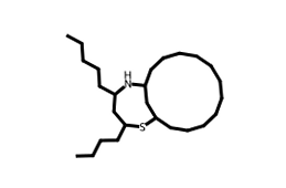 CCCCCC1CC(CCCC)SC2CCCCCCCCCCCC(C2)N1